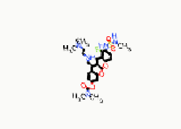 CNS(=O)(=O)Nc1cccc(Cc2c(CNCCN(C)C)c3ccc(OC(=O)N(C)C)cc3oc2=O)c1F